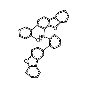 Cc1ccccc1-c1ccc2c(oc3ccccc32)c1Nc1ccccc1-c1ccc2oc3ccccc3c2c1